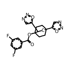 O=C(OC12CCC(c3cnno3)(CC1)CC2c1cnno1)c1cc(F)cc(F)c1